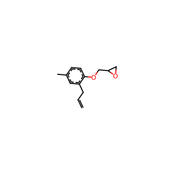 C=CCc1cc(C)ccc1OCC1CO1